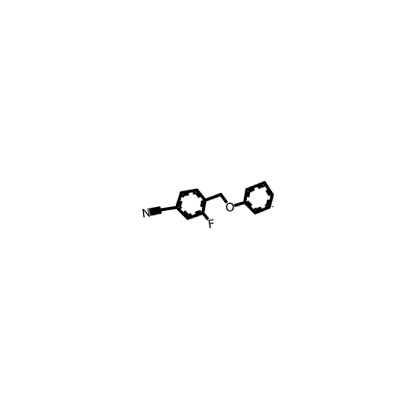 N#Cc1ccc(COc2c[c]ccc2)c(F)c1